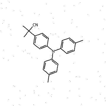 Cc1ccc(N(c2ccc(C)cc2)c2ccc(C(C)(C)C#N)cc2)cc1